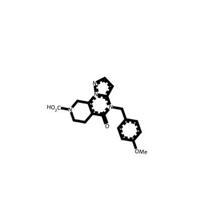 COc1ccc(Cn2c(=O)c3c(n4nccc24)CN(C(=O)O)CC3)cc1